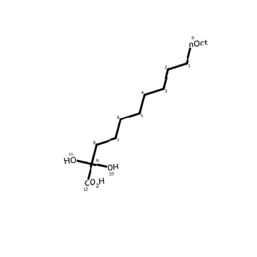 CCCCCCCCCCCCCCCCC(O)(O)C(=O)O